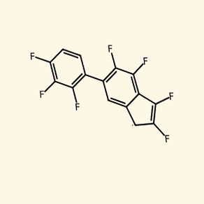 FC1=C(F)c2c(cc(-c3ccc(F)c(F)c3F)c(F)c2F)[CH]1